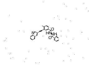 Cc1ccc(C(=O)NNC(=O)c2ccccc2C)cc1C#Cc1cnc2ccccc2c1